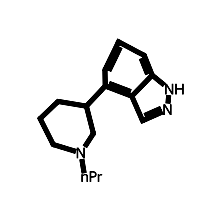 CCCN1CCCC(c2cccc3[nH]ncc23)C1